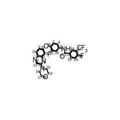 O=C(Nc1ccc(Oc2ccc3ncc(N4CCOCC4)nc3c2)c(F)c1)c1ccc(F)c(C(F)(F)F)c1